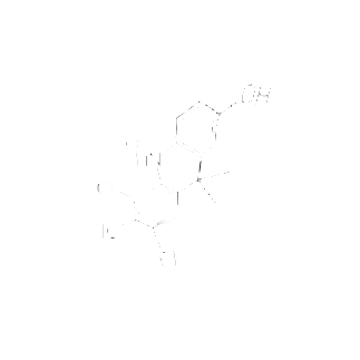 CC1(C)c2cc(O)ccc2[NH+]([O-])c2c1cc(Cl)c(O)c2Cl